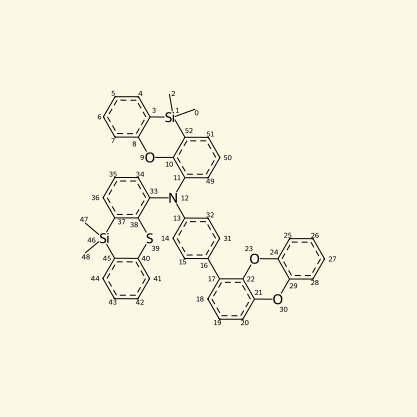 C[Si]1(C)c2ccccc2Oc2c(N(c3ccc(-c4cccc5c4Oc4ccccc4O5)cc3)c3cccc4c3Sc3ccccc3[Si]4(C)C)cccc21